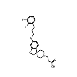 O=C(O)CCN1CCC2(CC1)COc1cc(OCCCc3cccc(F)c3F)ccc12